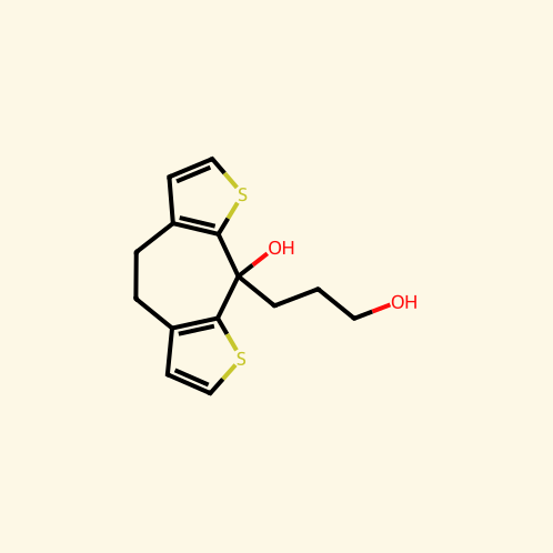 OCCCC1(O)c2sccc2CCc2ccsc21